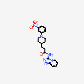 O=C(CCC1CCN(c2cccc([N+](=O)[O-])c2)CC1)Nc1nnc2ccccn12